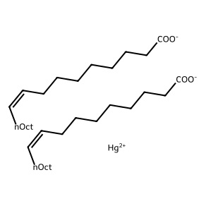 CCCCCCCC/C=C\CCCCCCCC(=O)[O-].CCCCCCCC/C=C\CCCCCCCC(=O)[O-].[Hg+2]